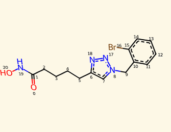 O=C(CCCCc1cn(Cc2ccccc2Br)nn1)NO